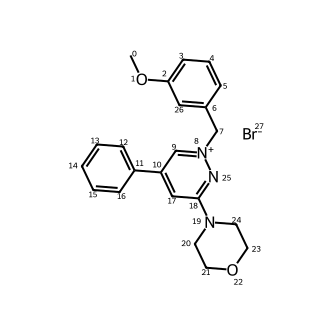 COc1cccc(C[n+]2cc(-c3ccccc3)cc(N3CCOCC3)n2)c1.[Br-]